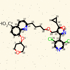 O=C(O)c1ccc(OC2CCOCC2)c2nc(CCCCOCc3c(-c4c(Cl)cncc4Cl)noc3C3CC3)ccc12